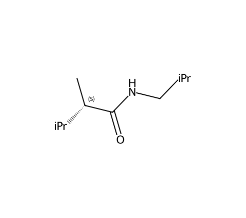 CC(C)CNC(=O)[C@@H](C)C(C)C